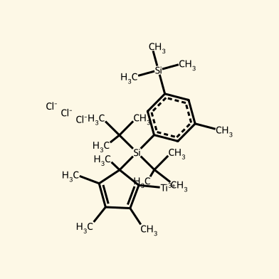 CC1=C(C)C(C)([Si](c2cc(C)cc([Si](C)(C)C)c2)(C(C)(C)C)C(C)(C)C)[C]([Ti+3])=C1C.[Cl-].[Cl-].[Cl-]